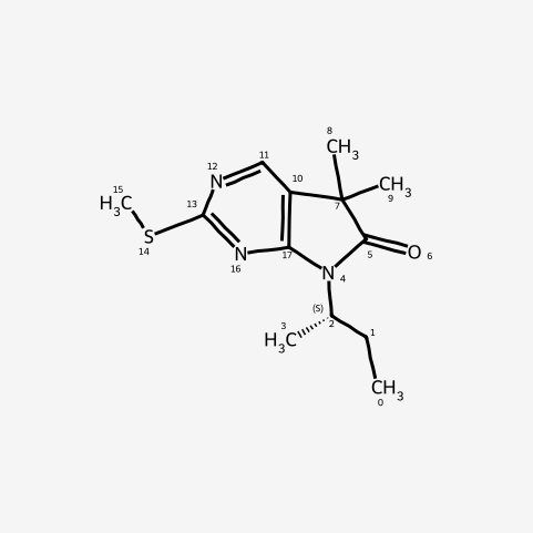 CC[C@H](C)N1C(=O)C(C)(C)c2cnc(SC)nc21